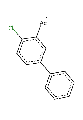 CC(=O)c1cc(-c2ccccc2)ccc1Cl